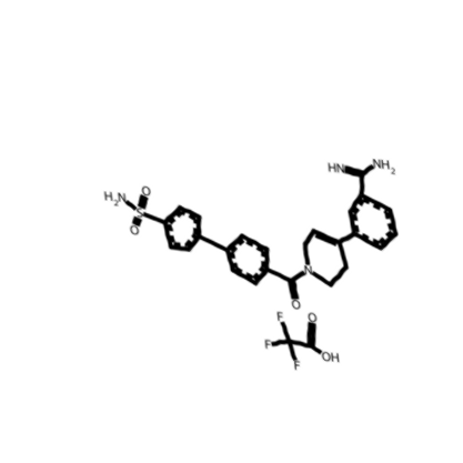 N=C(N)c1cccc(C2=CCN(C(=O)c3ccc(-c4ccc(S(N)(=O)=O)cc4)cc3)CC2)c1.O=C(O)C(F)(F)F